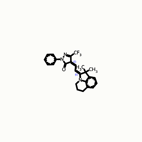 CC1(C)/C(=C\C=C2/C(=O)N(c3ccccc3)N=C2C(F)(F)F)N2CCCc3cccc1c32